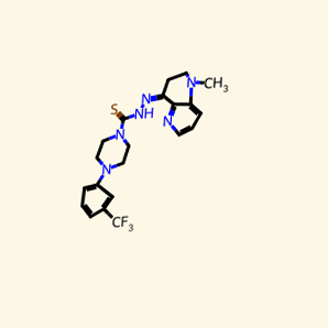 CN1CC/C(=N/NC(=S)N2CCN(c3cccc(C(F)(F)F)c3)CC2)c2ncccc21